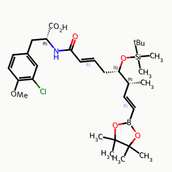 COc1ccc(C[C@@H](NC(=O)/C=C/C[C@H](O[Si](C)(C)C(C)(C)C)[C@H](C)/C=C/B2OC(C)(C)C(C)(C)O2)C(=O)O)cc1Cl